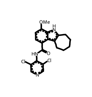 COc1ccc(C(=O)Nc2c(Cl)cncc2Cl)c2c3c([nH]c12)CCCCC3